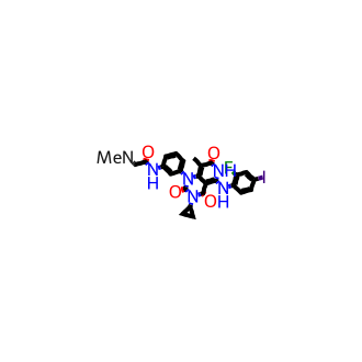 CNCC(=O)Nc1cccc(-n2c(=O)n(C3CC3)c(=O)c3c(Nc4ccc(I)cc4F)[nH]c(=O)c(C)c32)c1